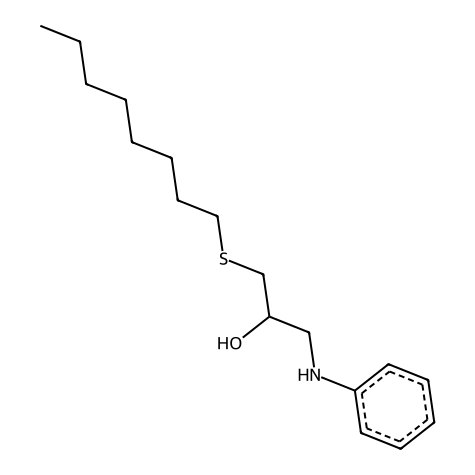 CCCCCCCCSCC(O)CNc1ccccc1